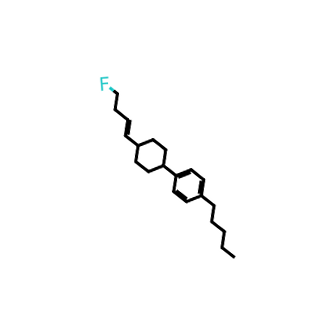 CCCCCc1ccc(C2CCC(/C=C/CCF)CC2)cc1